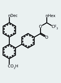 CCCCCCCCCCc1ccc(-c2ccc(C(=O)O)cc2-c2ccc(C(=O)OC(CCCCCC)C(F)(F)F)cc2)cc1